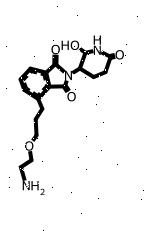 NCCOCCCc1cccc2c1C(=O)N(C1CCC(=O)NC1O)C2=O